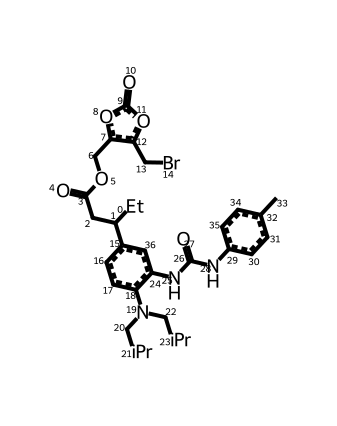 CCC(CC(=O)OCc1oc(=O)oc1CBr)c1ccc(N(CC(C)C)CC(C)C)c(NC(=O)Nc2ccc(C)cc2)c1